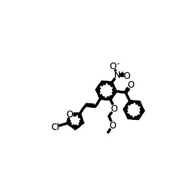 COCOc1c(C=Cc2ccc(Cl)o2)ccc([N+](=O)[O-])c1C(=O)c1ccccc1